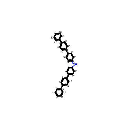 CN(c1ccc(-c2ccc(-c3ccccc3)cc2)cc1)c1ccc(-c2ccc(-c3ccccc3)cc2)cc1